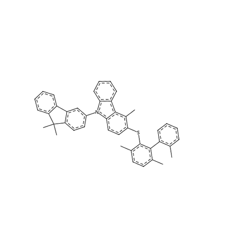 Cc1ccccc1-c1c(C)ccc(C)c1Sc1ccc2c(c1C)c1ccccc1n2-c1ccc2c(c1)-c1ccccc1C2(C)C